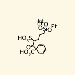 CCO[Si](CCCC(C(=O)C1(C(=O)O)C=CC=CC1)S(=O)(=O)O)(OCC)OCC